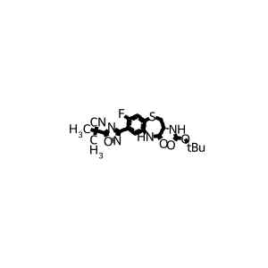 CC(C)(C)OC(=O)N[C@H]1CSc2cc(F)c(-c3noc(C(C)(C)C#N)n3)cc2NC1=O